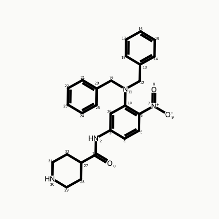 O=C(Nc1ccc([N+](=O)[O-])c(N(Cc2ccccc2)Cc2ccccc2)c1)C1CCNCC1